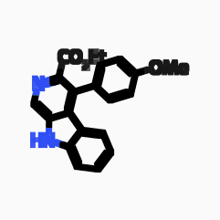 CCOC(=O)c1ncc2[nH]c3ccccc3c2c1-c1ccc(OC)cc1